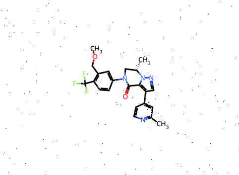 COCc1cc(N2C[C@H](C)n3ncc(-c4ccnc(C)c4)c3C2=O)ccc1C(F)(F)F